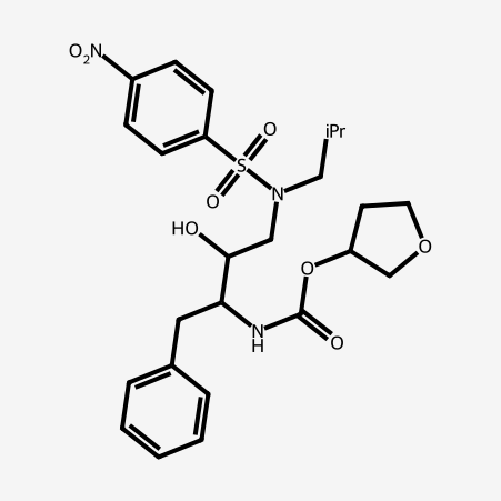 CC(C)CN(CC(O)C(Cc1ccccc1)NC(=O)OC1CCOC1)S(=O)(=O)c1ccc([N+](=O)[O-])cc1